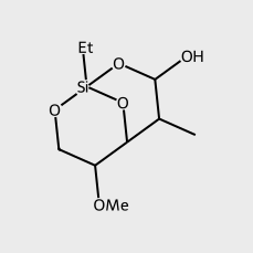 CC[Si]12OCC(OC)C(O1)C(C)C(O)O2